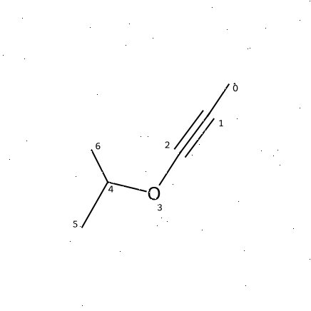 [CH2]C#COC(C)C